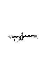 NCCCCCC(=O)N[C@@H](CCCCN)C(N)=O